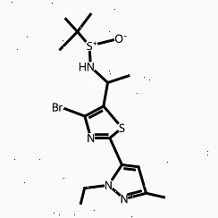 CCn1nc(C)cc1-c1nc(Br)c(C(C)N[S+]([O-])C(C)(C)C)s1